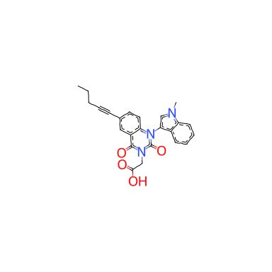 CCCC#Cc1ccc2c(c1)c(=O)n(CC(=O)O)c(=O)n2-c1cn(C)c2ccccc12